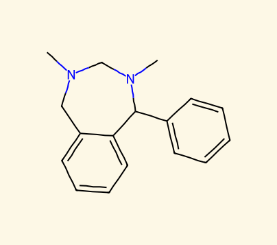 CN1Cc2ccccc2C(c2ccccc2)N(C)C1